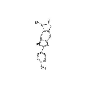 CCN1C(=O)Cc2cc3nc(-c4ccc(O)cc4)[nH]c3cc21